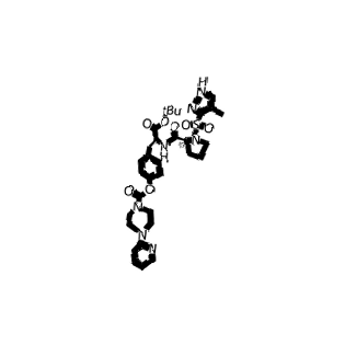 Cc1c[nH]nc1S(=O)(=O)N1CCC[C@H]1C(=O)N[C@@H](Cc1ccc(OC(=O)N2CCN(c3ccccn3)CC2)cc1)C(=O)OC(C)(C)C